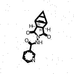 O=C(NN1C(=O)[C@@H]2C3C=CC(C4CC43)[C@@H]2C1=O)c1cccnc1